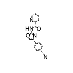 N#Cc1ccc(-c2coc(NC(=O)c3ccccn3)n2)cc1